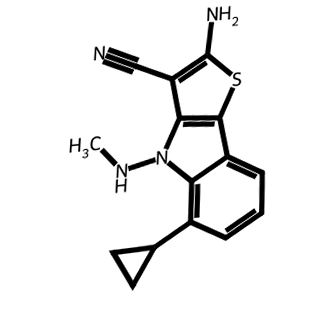 CNn1c2c(C3CC3)cccc2c2sc(N)c(C#N)c21